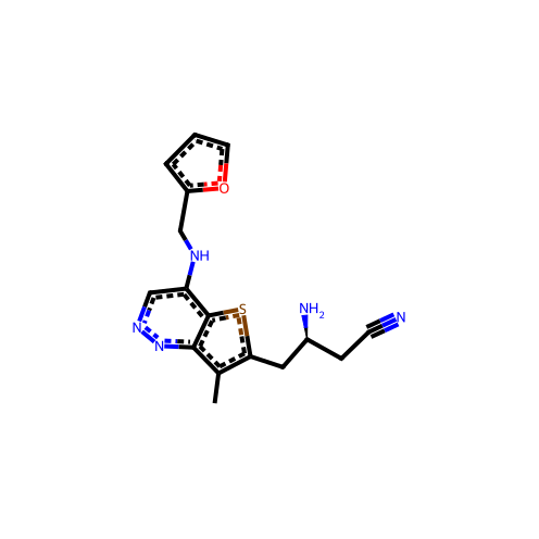 Cc1c(C[C@@H](N)CC#N)sc2c(NCc3ccco3)cnnc12